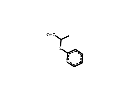 CC([C]=O)Sc1ccccn1